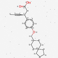 CC#C[C@@H](CC(=O)O)c1ccc(OCC2CCC3(CCCC3)CC2)cc1